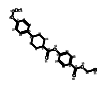 CCCCCCCCOc1ccc(C2CCC(C(=O)Oc3ccc(C(=O)OCC(C)CC)cc3)CC2)cc1